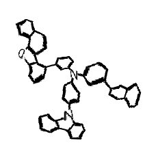 c1cc(-c2ccc3ccccc3c2)cc(N(c2ccc(-n3c4ccccc4c4ccccc43)cc2)c2cccc(-c3cccc4oc5c6ccccc6ccc5c34)c2)c1